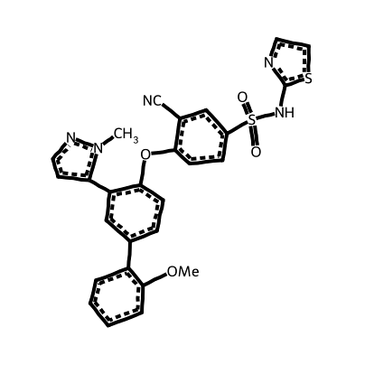 COc1ccccc1-c1ccc(Oc2ccc(S(=O)(=O)Nc3nccs3)cc2C#N)c(-c2ccnn2C)c1